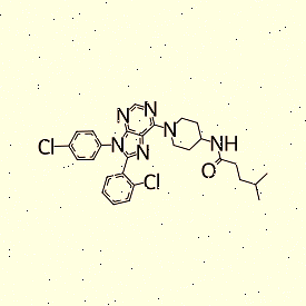 CC(C)CCC(=O)NC1CCN(c2ncnc3c2nc(-c2ccccc2Cl)n3-c2ccc(Cl)cc2)CC1